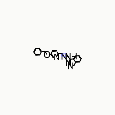 C(=N\Nc1nncc2ccccc12)/c1ccc(OCc2ccccc2)cn1